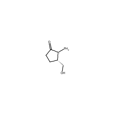 O=C1CC[C@@H](CO)N1P